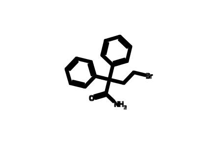 NC(=O)C(CCBr)(c1ccccc1)c1ccccc1